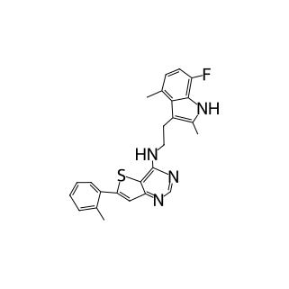 Cc1ccccc1-c1cc2ncnc(NCCc3c(C)[nH]c4c(F)ccc(C)c34)c2s1